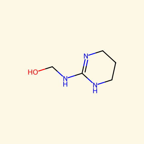 OCNC1=NCCCN1